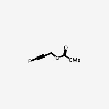 COC(=O)OCC#CF